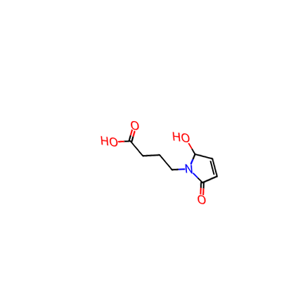 O=C(O)CCCN1C(=O)C=CC1O